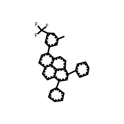 Cc1cc(-c2ccc3ccc4c(-c5ccccc5)cc(-c5ccccc5)c5ccc2c3c45)cc(C(F)(F)F)c1